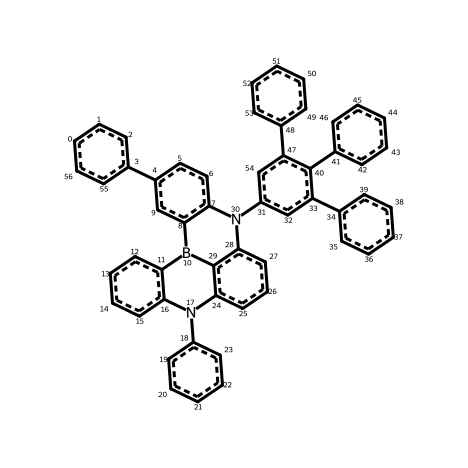 c1ccc(-c2ccc3c(c2)B2c4ccccc4N(c4ccccc4)c4cccc(c42)N3c2cc(-c3ccccc3)c(-c3ccccc3)c(-c3ccccc3)c2)cc1